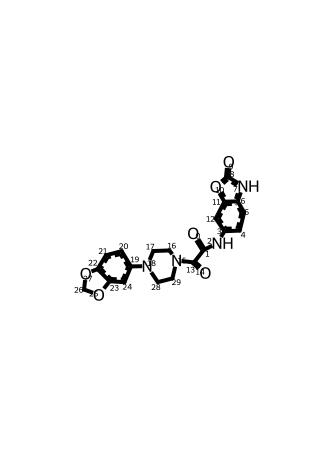 O=C(Nc1ccc2[nH]c(=O)oc2c1)C(=O)N1CCN(c2ccc3c(c2)OCO3)CC1